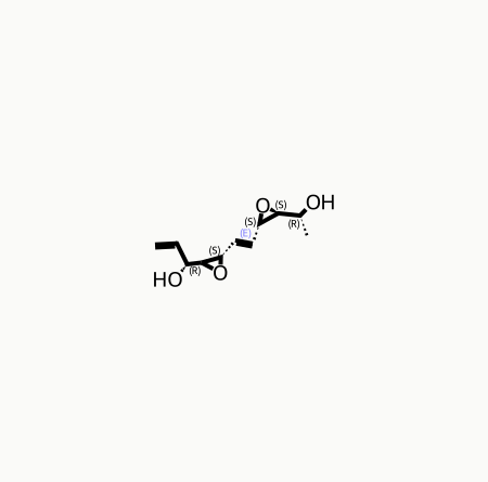 C=C[C@@H](O)C1O[C@H]1/C=C/[C@@H]1O[C@H]1[C@@H](C)O